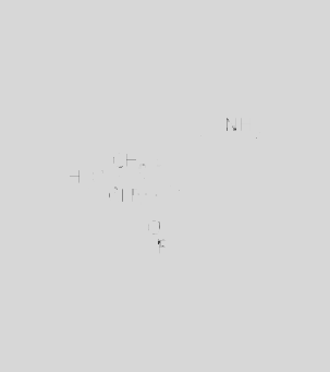 CC(C)(C)c1cc(CCCCN)cc(COF)c1